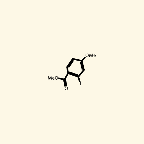 COC(=O)c1ccc(OC)cc1I